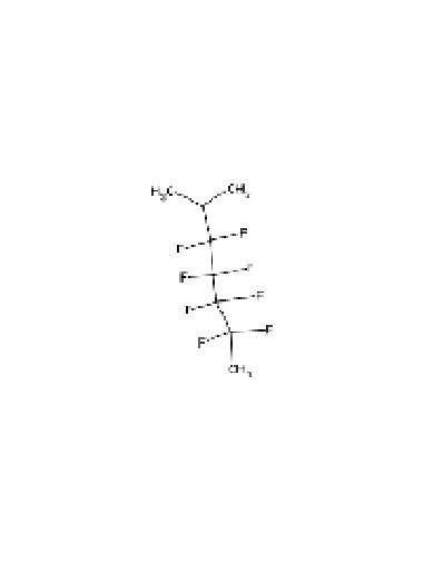 CC(C)C(F)(F)C(F)(F)C(F)(F)C(C)(F)F